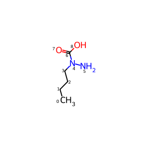 CCCCN(N)C(=O)O